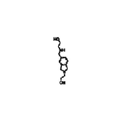 OCCNCc1ccc2c(c1)CN(CCO)C2